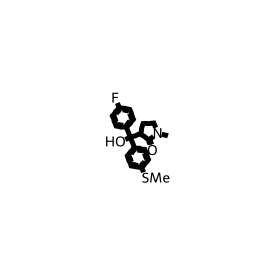 CSc1ccc(C(O)(c2ccc(F)cc2)C2CCN(C)C2=O)cc1